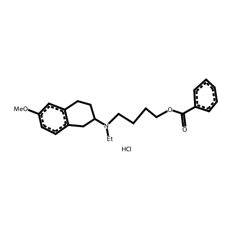 CCN(CCCCOC(=O)c1ccccc1)C1CCc2cc(OC)ccc2C1.Cl